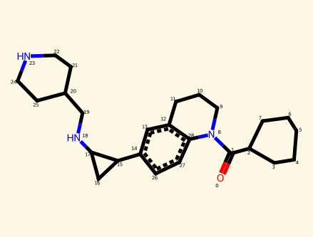 O=C(C1CCCCC1)N1CCCc2cc(C3CC3NCC3CCNCC3)ccc21